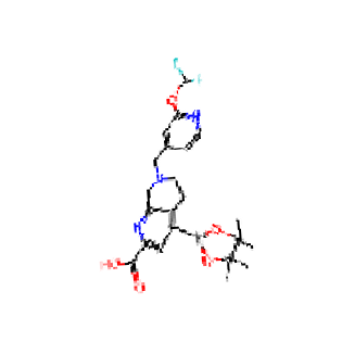 CC1(C)OB(c2cc(C(=O)O)nc3c2CCN(Cc2ccnc(OC(F)F)c2)C3)OC1(C)C